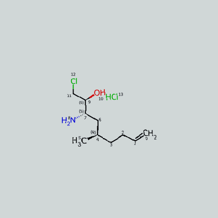 C=CCC[C@@H](C)C[C@H](N)[C@H](O)CCl.Cl